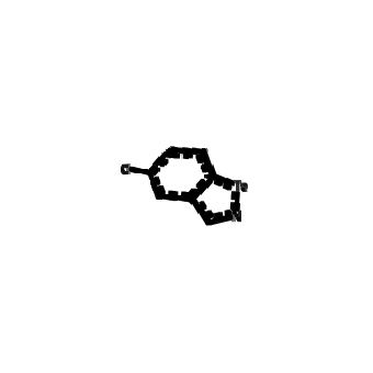 Clc1ccc2[te]ncc2c1